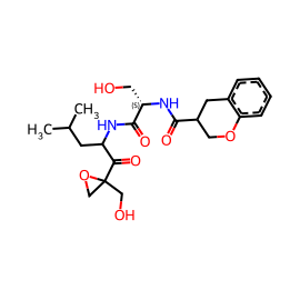 CC(C)CC(NC(=O)[C@H](CO)NC(=O)C1COc2ccccc2C1)C(=O)C1(CO)CO1